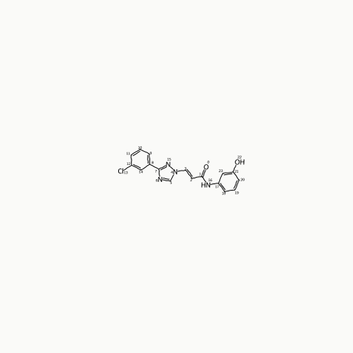 O=C(/C=C/n1cnc(-c2cccc(Cl)c2)n1)Nc1cccc(O)c1